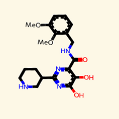 COc1cccc(CNC(=O)c2nc(C3CCCNC3)nc(O)c2O)c1OC